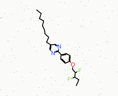 CCCCCCCCCc1cnc(-c2ccc(OCC(F)C(F)CC)cc2)nc1